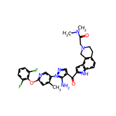 Cc1cc(Oc2c(F)cccc2F)ncc1-n1ncc(C(=O)c2cc3c4c(ccc3[nH]2)CCN(CC(=O)N(C)C)C4)c1N